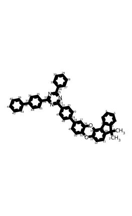 CC1(C)c2ccccc2-c2c1ccc1c2Oc2cc(-c3ccc(-c4nc(-c5ccccc5)nc(-c5ccc(-c6ccccc6)cc5)n4)cc3)ccc2O1